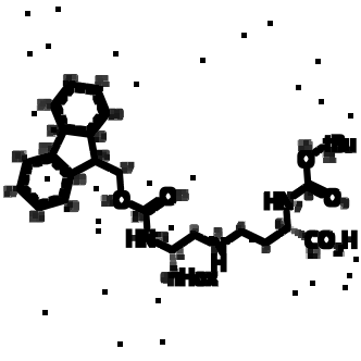 CCCCCC[C@@H](CNCC[C@H](NC(=O)OC(C)(C)C)C(=O)O)NC(=O)OCC1c2ccccc2-c2ccccc21